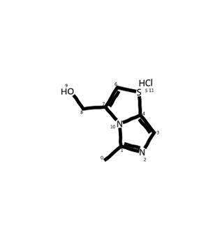 Cc1ncc2scc(CO)n12.Cl